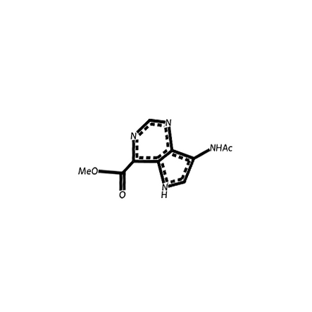 COC(=O)c1ncnc2c(NC(C)=O)c[nH]c12